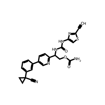 C#Cc1nc(NC(=O)NC(COC(N)=O)c2ccc(-c3cccc(C4(C#N)CC4)c3)cn2)cs1